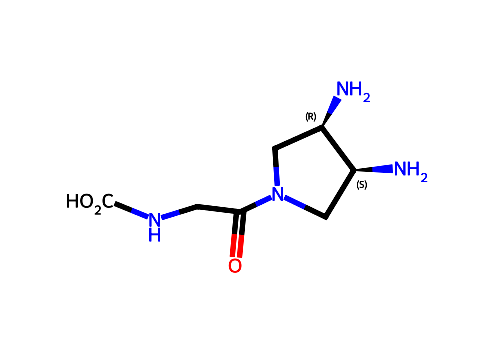 N[C@@H]1CN(C(=O)CNC(=O)O)C[C@@H]1N